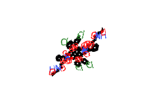 O=C(CCOC(=O)C(Cc1ccccc1)N1C(=O)c2cc(Oc3ccc(Cl)cc3)c3c4c(Oc5ccc(Cl)cc5)cc5c6c(cc(Oc7ccc(Cl)cc7)c(c7c(Oc8ccc(Cl)cc8)cc(c2c37)C1=O)c64)C(=O)N(C(Cc1ccccc1)C(=O)OCCC(=O)NCC1CO1)C5=O)NCC1CO1